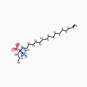 C=CCCCCCCCCCCCCCCCC(CCC)(P(=O)=O)[N+](C)(C)C